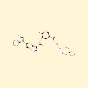 Cc1ncc(C(=O)NCCN2CCC3(CCO3)CC2)cc1NC(=O)c1cnn2cc(-c3cnn4c3CCC4)sc12